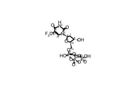 O=c1[nH]c(=O)n([C@H]2C[C@H](O)[C@@H](COP(=O)(O)OP(=O)(O)OP(=O)(O)O)O2)cc1C(F)(F)F